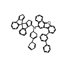 C1=CCC(C2=CCC(N(C3=CCC4=C3c3ccccc3C43C4=CCC=C4c4ccccc43)c3cc4c(oc5cccc(-c6cccc(-c7ccccc7)c6)c54)c4ccccc34)C=C2)C=C1